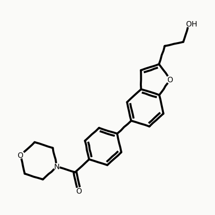 O=C(c1ccc(-c2ccc3oc(CCO)cc3c2)cc1)N1CCOCC1